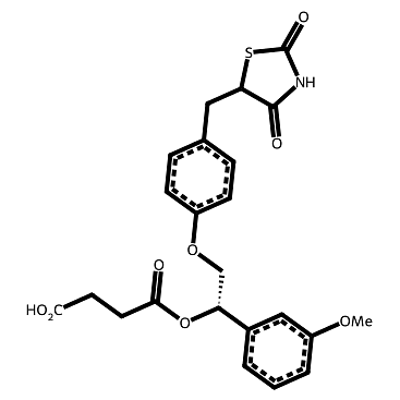 COc1cccc([C@@H](COc2ccc(CC3SC(=O)NC3=O)cc2)OC(=O)CCC(=O)O)c1